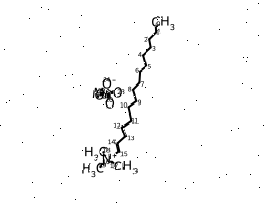 CCCCCCCCCCCCCCCC[N+](C)(C)C.[O]=[Mn](=[O])(=[O])[O-]